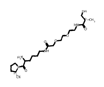 C[C@@H](CO)C(=O)NCCOCCOCC(=O)NCCCCC(N)C(=O)N1CCC[C@H]1C#N